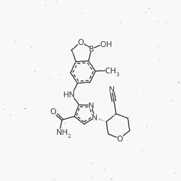 Cc1cc(Nc2nn([C@H]3COCCC3C#N)cc2C(N)=O)cc2c1B(O)OC2